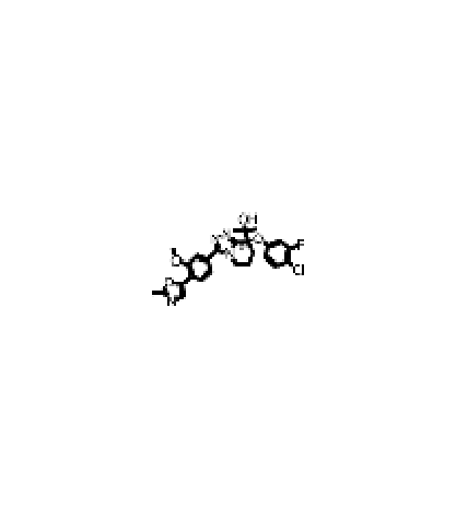 COc1cc(-c2nnc3n2CCC[C@@]3(Oc2ccc(Cl)c(F)c2)C(C)(C)O)ccc1-c1cnc(C)o1